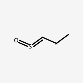 C[C]C=S=O